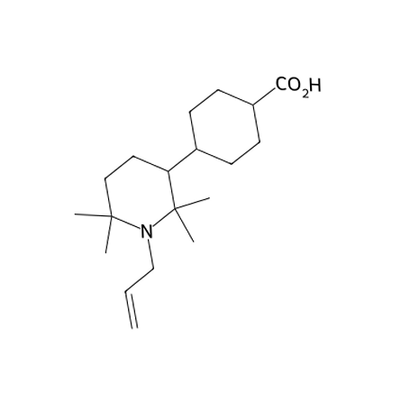 C=CCN1C(C)(C)CCC(C2CCC(C(=O)O)CC2)C1(C)C